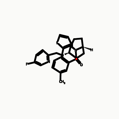 Cc1ccc(-c2nccs2)c(C(=O)N2C3CC[C@H]2CC[C@@H]3OCc2ccc(F)cn2)c1